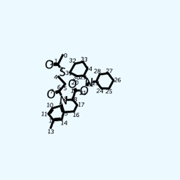 CC(=O)SCCC(=O)N1c2ccc(C)cc2CCC1C(=O)ON(C1CCCCC1)C1CCCCC1